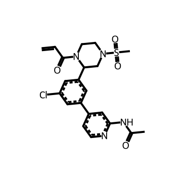 C=CC(=O)N1CCN(S(C)(=O)=O)CC1c1cc(Cl)cc(-c2ccnc(NC(C)=O)c2)c1